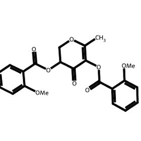 COc1ccccc1C(=O)OC1=C(C)OCC(OC(=O)c2ccccc2OC)C1=O